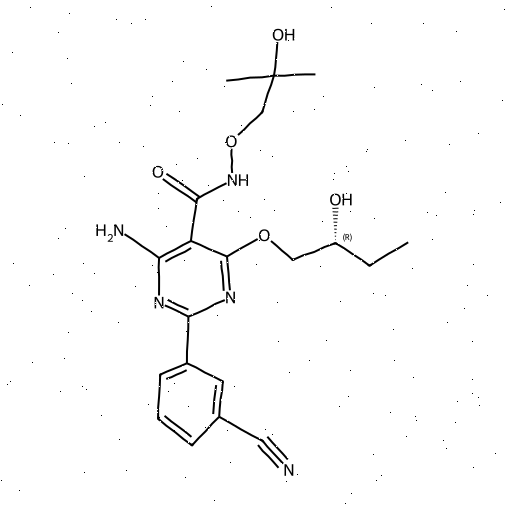 CC[C@@H](O)COc1nc(-c2cccc(C#N)c2)nc(N)c1C(=O)NOCC(C)(C)O